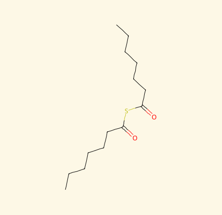 CCCCCCC(=O)SC(=O)CCCCCC